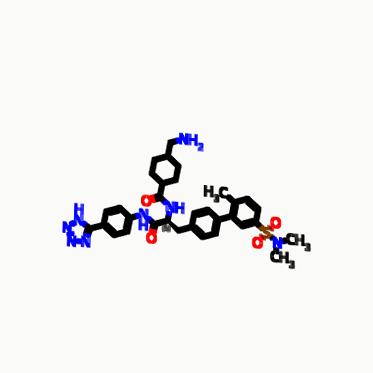 Cc1ccc(S(=O)(=O)N(C)C)cc1-c1ccc(C[C@H](NC(=O)C2CCC(CN)CC2)C(=O)Nc2ccc(-c3nnn[nH]3)cc2)cc1